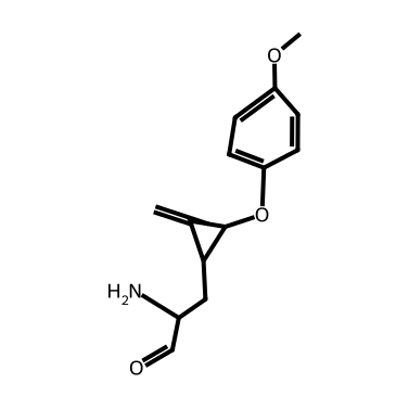 C=C1C(CC(N)C=O)C1Oc1ccc(OC)cc1